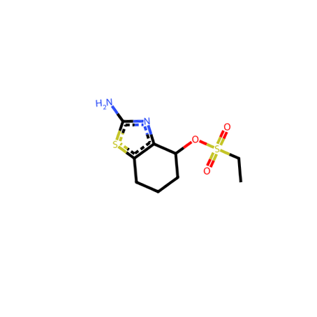 CCS(=O)(=O)OC1CCCc2sc(N)nc21